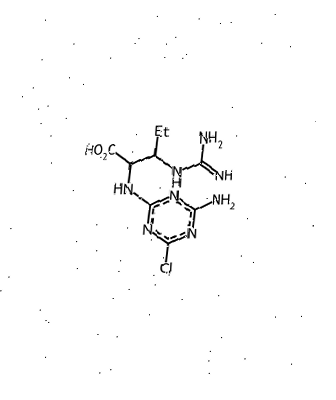 CCC(NC(=N)N)C(Nc1nc(N)nc(Cl)n1)C(=O)O